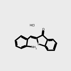 Cl.Nc1ccccc1C=C1Sc2ccccc2C1=O